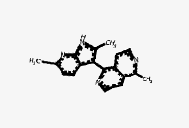 Cc1ccc2c(-c3nccc4c(C)nccc34)c(C)[nH]c2n1